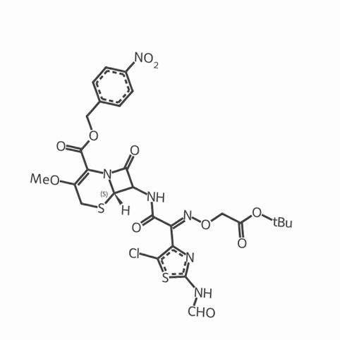 COC1=C(C(=O)OCc2ccc([N+](=O)[O-])cc2)N2C(=O)C(NC(=O)C(=NOCC(=O)OC(C)(C)C)c3nc(NC=O)sc3Cl)[C@@H]2SC1